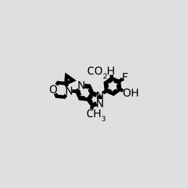 Cc1nn(-c2cc(O)c(F)c(C(=O)O)c2)c2cnc(N3CCOCC34CC4)cc12